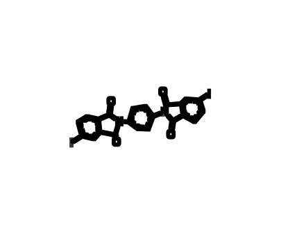 O=C1c2ccc(I)cc2C(=O)N1c1ccc(N2C(=O)c3ccc(I)cc3C2=O)cc1